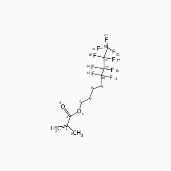 C=C(C)C(=O)OCCCCC(F)(F)C(F)(F)C(F)(F)C(F)(F)F